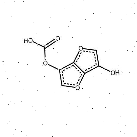 O=C(O)Oc1coc2c(O)coc12